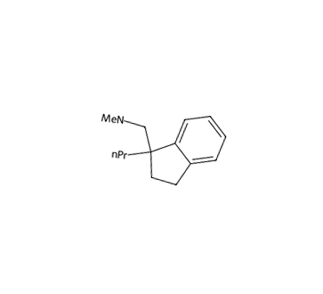 CCCC1(CNC)CCc2ccccc21